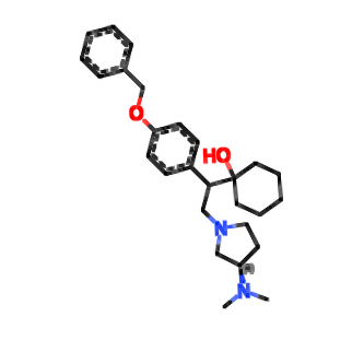 CN(C)[C@@H]1CCN(CC(c2ccc(OCc3ccccc3)cc2)C2(O)CCCCC2)C1